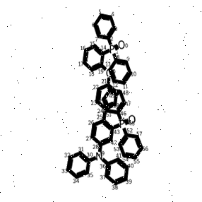 O=P(c1ccccc1)(c1ccccc1)c1ccccc1Oc1ccc(-c2ccc(N(c3ccccc3)c3ccccc3)cc2P(=O)(c2ccccc2)c2ccccc2)cc1